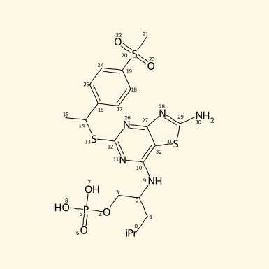 CC(C)CC(COP(=O)(O)O)Nc1nc(SC(C)c2ccc(S(C)(=O)=O)cc2)nc2nc(N)sc12